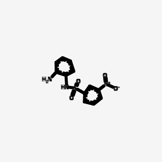 Nc1ccccc1NS(=O)(=O)c1cccc([N+](=O)[O-])c1